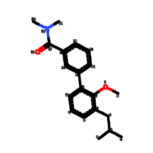 COc1c(CC(C)C)cccc1-c1cccc(C(=O)N(C)C)c1